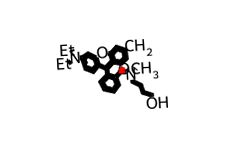 C=c1ccc2c(c1)Oc1cc(N(CC)CC)ccc1C=2c1ccccc1C(=O)N(C)CCCCO